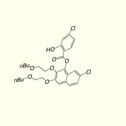 CCCCOCCOc1cc2ccc(Cl)cc2c(OC(=O)c2ccc(Cl)cc2O)c1OCCOCCCC